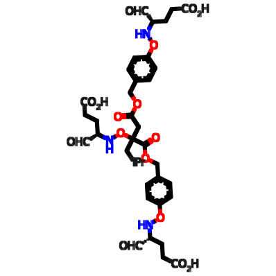 CC(C)CC(CC(=O)OCc1ccc(ON[C@@H](C=O)CCC(=O)O)cc1)(ON[C@@H](C=O)CCC(=O)O)C(=O)OCc1ccc(ON[C@@H](C=O)CCC(=O)O)cc1